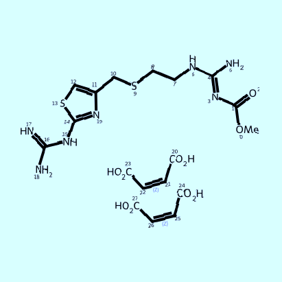 COC(=O)N=C(N)NCCSCc1csc(NC(=N)N)n1.O=C(O)/C=C\C(=O)O.O=C(O)/C=C\C(=O)O